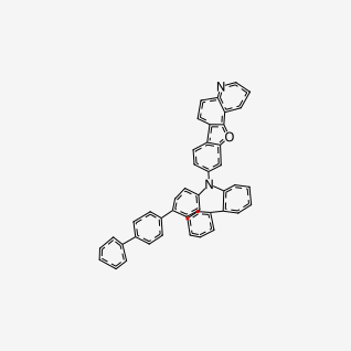 c1ccc(-c2ccc(-c3ccc(N(c4ccc5c(c4)oc4c6cccnc6ccc54)c4ccccc4-c4ccccc4)cc3)cc2)cc1